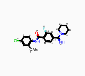 COc1cc(Cl)ccc1NC(=O)c1ccc(C(=N)N2CCCCC2)cc1F